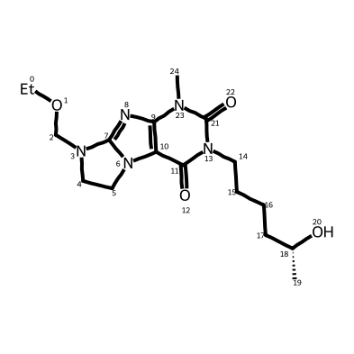 CCOCN1CCn2c1nc1c2c(=O)n(CCCC[C@@H](C)O)c(=O)n1C